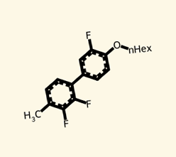 CCCCCCOc1ccc(-c2ccc(C)c(F)c2F)cc1F